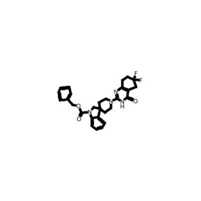 O=C(OCc1ccccc1)N1CC2(CCN(c3nc4c(c(=O)[nH]3)CC(F)(F)CC4)CC2)c2ccccc21